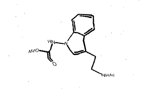 COC(=O)Nn1cc(CCNC(C)=O)c2ccccc21